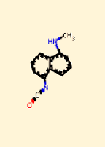 CNc1cccc2c(N=C=O)cccc12